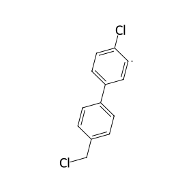 ClCc1ccc(-c2c[c]c(Cl)cc2)cc1